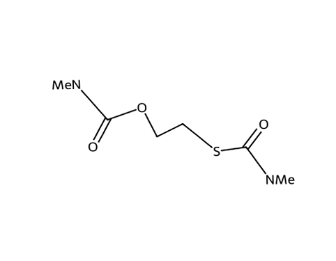 CNC(=O)OCCSC(=O)NC